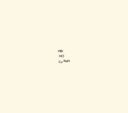 Br.Cl.[Cu].[NaH]